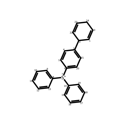 C1=CC(c2ccc([S+](c3ccccc3)c3ccccc3)cc2)C=CC1